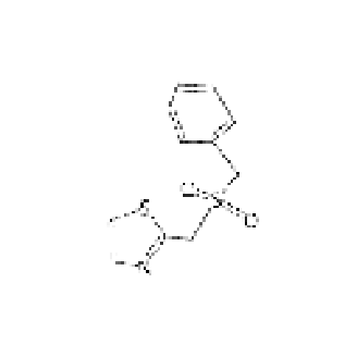 O=S(=O)(Cc1ccccc1)Cc1nccs1